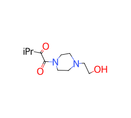 CC(C)C(=O)C(=O)N1CCN(CCO)CC1